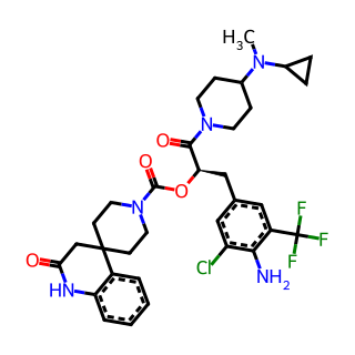 CN(C1CC1)C1CCN(C(=O)[C@@H](Cc2cc(Cl)c(N)c(C(F)(F)F)c2)OC(=O)N2CCC3(CC2)CC(=O)Nc2ccccc23)CC1